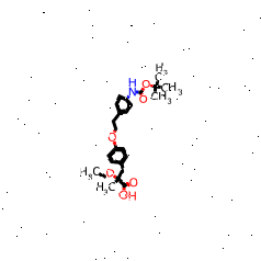 CCOC(C)(Cc1ccc(OCCc2ccc(NC(=O)OC(C)(C)C)cc2)cc1)C(=O)O